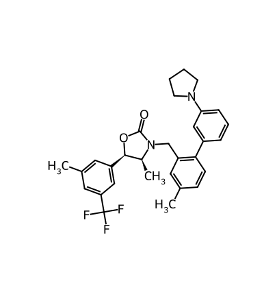 Cc1cc([C@H]2OC(=O)N(Cc3cc(C)ccc3-c3cccc(N4CCCC4)c3)[C@H]2C)cc(C(F)(F)F)c1